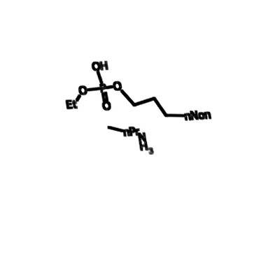 CCCC.CCCCCCCCCCCCOP(=O)(O)OCC.N